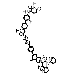 O=C1CCC(Nc2ccc(C3CCC(O)(CC(=O)N4CC5(C4)CN(c4ccc(-c6cc(F)c7c(c6)C(=O)N(C(C(=O)Nc6ccccn6)c6ncn8c6CCC8)C7)cc4)C5)CC3)c(F)c2)C(=O)N1